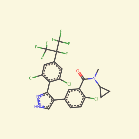 CN(C(=O)c1cc(-c2c[nH]nc2-c2c(Cl)cc(C(F)(C(F)(F)F)C(F)(F)F)cc2Cl)ccc1Cl)C1CC1